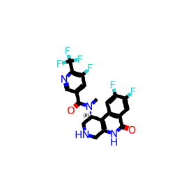 CN(C(=O)c1cnc(C(F)(F)F)c(F)c1)[C@H]1CNCc2[nH]c(=O)c3cc(F)c(F)cc3c21